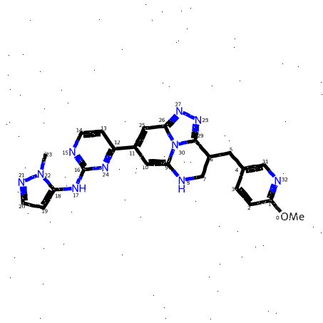 COc1ccc(CC2CNc3cc(-c4ccnc(Nc5ccnn5C)n4)cc4nnc2n34)cn1